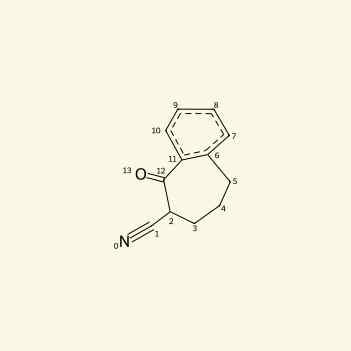 N#CC1CCCc2ccccc2C1=O